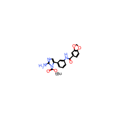 CC(C)(C)OC(=O)n1c(-c2cccc(NC(=O)c3ccc4c(c3)OCO4)c2)cnc1N